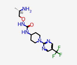 C[C@H](N)CONC(=O)NC1CCN(c2ncc(C(F)(F)F)cn2)CC1